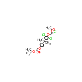 CC(=O)O[C@@H](CCl)COc1c(Cl)cc(C(C)(C)c2ccc(OC[C@@H](O)COC(C)C)cc2)cc1Cl